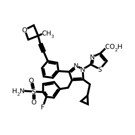 CC1(C#Cc2cccc(-c3nn(-c4nc(C(=O)O)cs4)c(CC4CC4)c3Cc3ccc(S(N)(=O)=O)c(F)c3)c2)COC1